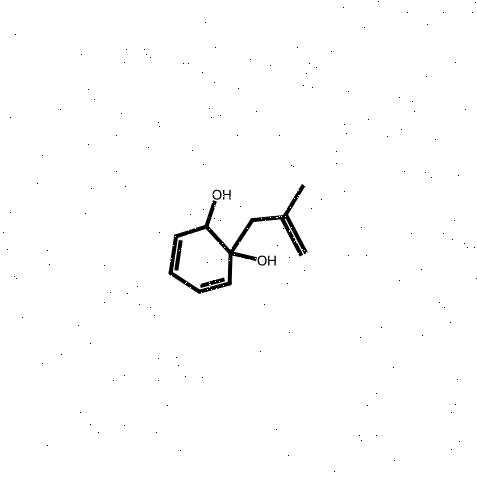 C=C(C)CC1(O)C=CC=CC1O